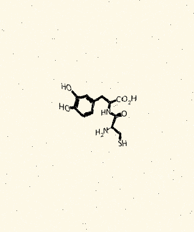 N[C@@H](CS)C(=O)NC(Cc1ccc(O)c(O)c1)C(=O)O